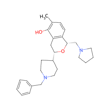 Cc1ccc2c(c1O)C[C@@H](C1CCN(Cc3ccccc3)CC1)O[C@H]2CN1CCCC1